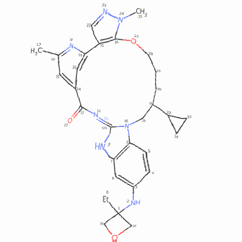 CCC1(Nc2ccc3c(c2)N/C2=N\C(=O)c4cc(C)nc(c4)-c4cnn(C)c4OCCCC(C4CC4)CN23)COC1